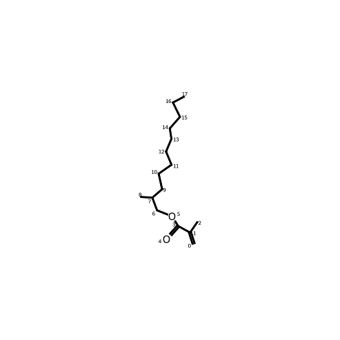 C=C(C)C(=O)OCC(C)CCCCCCCCC